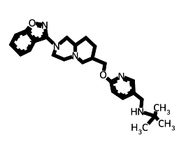 CC(C)(C)NCc1ccc(OCC2CCC3CN(c4noc5ccccc45)CCN3C2)nc1